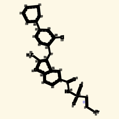 CCC/C=C/S(=O)(=O)NC(=O)c1ccc2oc(C)c(Cc3ccc(-c4ccccc4)cc3Cl)c2c1